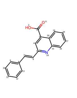 O=C(O)c1cc(C=Cc2ccccc2)nc2ccccc12